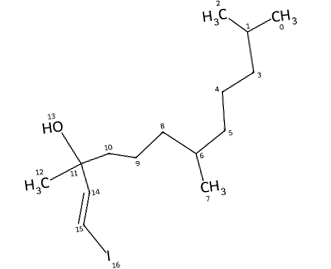 CC(C)CCCC(C)CCCC(C)(O)C=CI